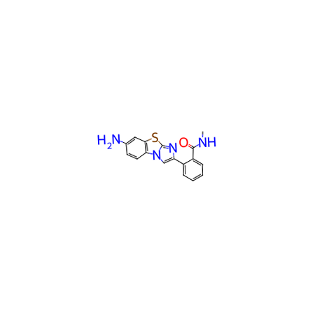 CNC(=O)c1ccccc1-c1cn2c(n1)sc1cc(N)ccc12